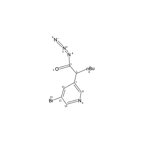 CCCCC(C(=O)N=[N+]=[N-])c1cncc(Br)c1